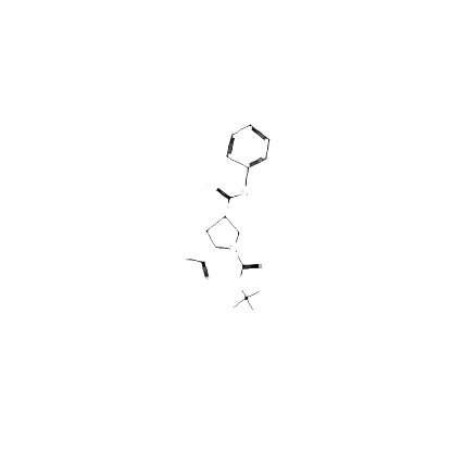 CC(C)(C)OC(=O)N1C[C@H](C(=O)Nc2ccccc2)C[C@H]1C(=O)O